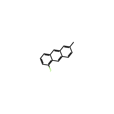 Cc1ccc2cc3c(F)cccc3cc2c1